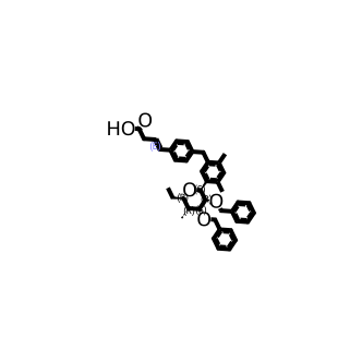 CC[C@H]1O[C@@H](c2cc(Cc3ccc(/C=C/CC(=O)O)cc3)c(C)cc2C)[C@H](OCc2ccccc2)[C@@H](OCc2ccccc2)[C@@H]1C